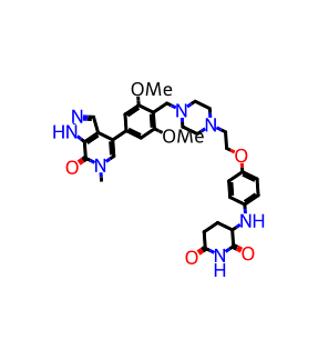 COc1cc(-c2cn(C)c(=O)c3[nH]ncc23)cc(OC)c1CN1CCN(CCOc2ccc(NC3CCC(=O)NC3=O)cc2)CC1